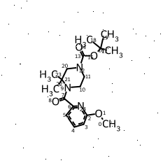 COc1cccc(C(=O)N2CCN(C(=O)OC(C)(C)C)CC2(C)C)n1